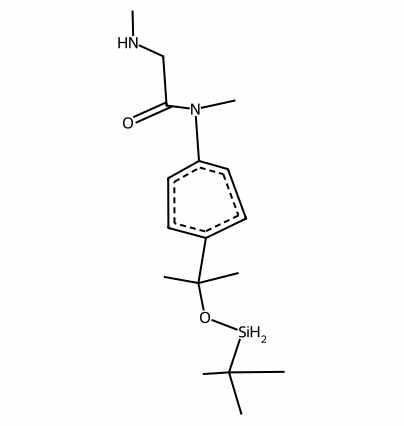 CNCC(=O)N(C)c1ccc(C(C)(C)O[SiH2]C(C)(C)C)cc1